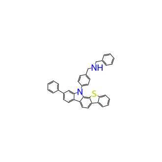 c1ccc(CNCc2ccc(-n3c4cc(-c5ccccc5)ccc4c4ccc5c6ccccc6sc5c43)cc2)cc1